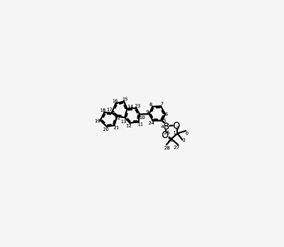 CC1(C)OB(c2cccc(-c3ccc4c(ccc5ccccc54)c3)c2)OC1(C)C